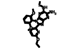 CCOc1cccc(-c2nc3nc(N)c(NSC)nc3n2-c2c(OC)cccc2OC)n1